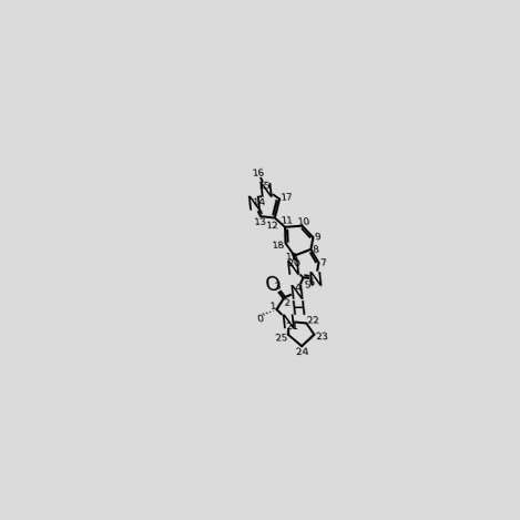 C[C@H](C(=O)Nc1ncc2ccc(-c3cnn(C)c3)cc2n1)N1CCCC1